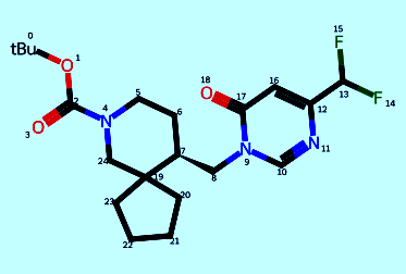 CC(C)(C)OC(=O)N1CC[C@@H](Cn2cnc(C(F)F)cc2=O)C2(CCCC2)C1